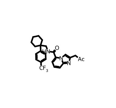 CC(=O)Cc1cn2c(C(=O)NCC3(c4ccc(C(F)(F)F)cc4)CCCCC3)cccc2n1